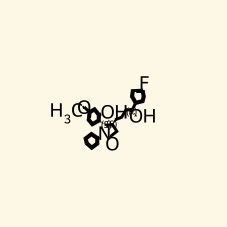 COc1ccc([C@@H]2[C@@H](CCC[C@@H](O)c3ccc(F)cc3)CC(=O)N2c2ccccc2)c(O)c1